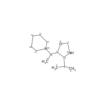 CC(C)C1NCOC1C(C)N1CCCCC1